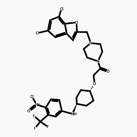 O=C(CO[C@H]1CC[C@H](Nc2ccc([N+](=O)[O-])c(C(F)(F)F)c2)CC1)N1CCN(Cc2cc3cc(Cl)cc(Cl)c3o2)CC1